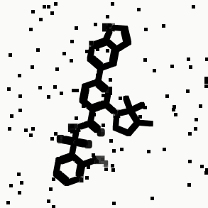 CC1CCN(c2nc(-c3cnc4[nH]ccc4c3)ccc2C(=O)NS(=O)(=O)c2cccnc2N)C1(C)C